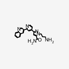 NCCCn1nc(-c2ccnc(-c3cnc4ccccc4c3)c2)cc1C(N)=O